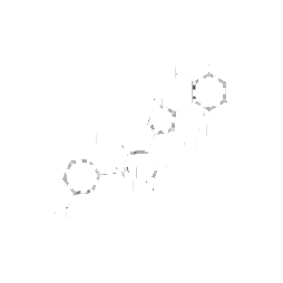 Cc1c(-c2c(F)cccc2Cl)noc1/C(C=N)=C(/Nc1cccc(Cl)c1)C(F)(F)F